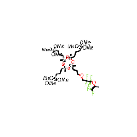 CO[Si](CCC[Si]1(C)O[Si](C)(CCCOCC(F)(F)C(F)(F)OC(C)=C(F)F)O[Si](C)(CCC[Si](OC)(OC)OC)O[Si](C)(CCC[Si](OC)(OC)OC)O1)(OC)OC